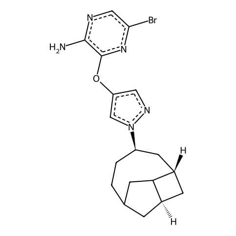 Nc1ncc(Br)nc1Oc1cnn([C@@H]2CCC3CC4[C@H](C3)C[C@H]4C2)c1